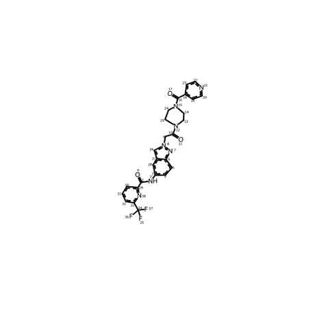 O=C(Nc1ccc2nn(CC(=O)N3CCN(C(=O)c4ccncc4)CC3)cc2c1)c1cccc(C(F)(F)F)n1